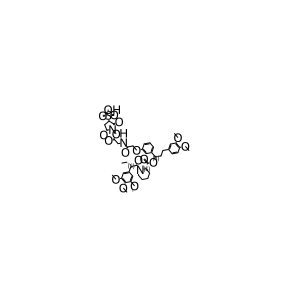 CC[C@H](C(=O)N1CCCC[C@H]1C(=O)O[C@H](CCc1ccc(OC)c(OC)c1)c1cccc(OCC(=O)NCC(=O)ON2C(=O)CC(S(=O)(=O)O)C2=O)c1)c1cc(OC)c(OC)c(OC)c1